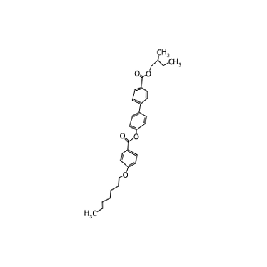 CCCCCCCOc1ccc(C(=O)Oc2ccc(-c3ccc(C(=O)OCC(C)CC)cc3)cc2)cc1